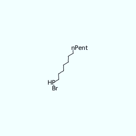 CCCCCCCCCCCCPBr